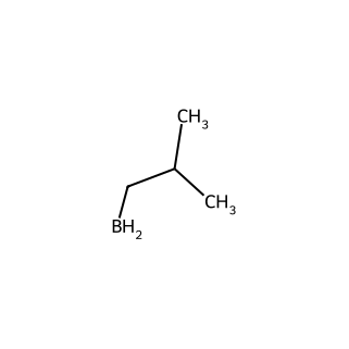 BCC(C)C